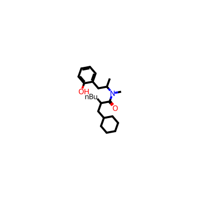 CCCCC(CC1CCCCC1)C(=O)N(C)C(C)Cc1ccccc1O